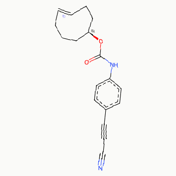 N#CC#Cc1ccc(NC(=O)O[C@@H]2CC/C=C/CCC2)cc1